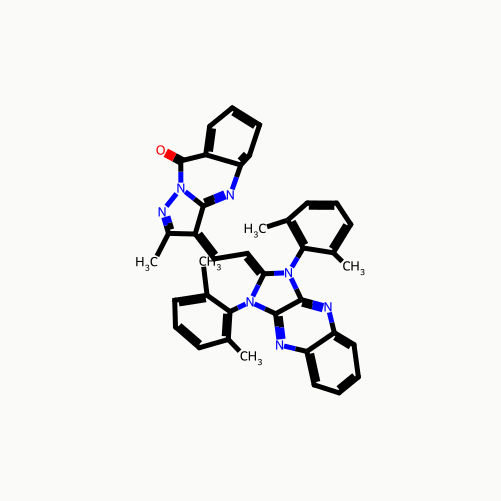 Cc1cccc(C)c1N1C(=C/C=c2/c(C)nn3c(=O)c4ccccc4nc23)N(c2c(C)cccc2C)c2nc3ccccc3nc21